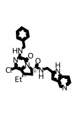 CC[C@H]1C[C@@H](C(=O)NCc2cc3cnccc3[nH]2)n2c1c(Cl)nc(NCc1ccccc1)c2=O